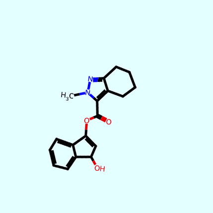 Cn1nc2c(c1C(=O)OC1=CC(O)c3ccccc31)CCCC2